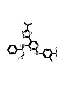 Cc1cc(Nc2ncc(-c3nnc(C(C)C)o3)c(N[C@H](CO)c3ccccc3)n2)ccc1S(C)(=O)=O